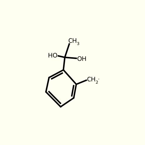 [CH2]c1ccccc1C(C)(O)O